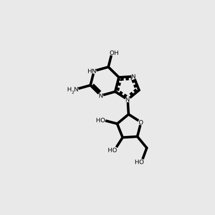 NC1=Nc2c(ncn2C2OC(CO)C(O)C2O)C(O)N1